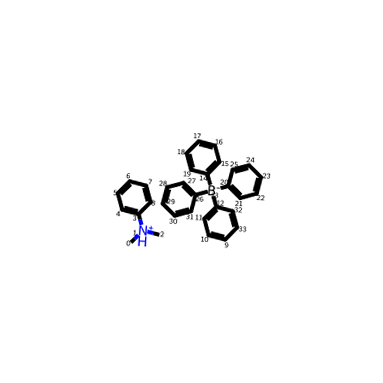 C[NH+](C)c1ccccc1.c1ccc([B-](c2ccccc2)(c2ccccc2)c2ccccc2)cc1